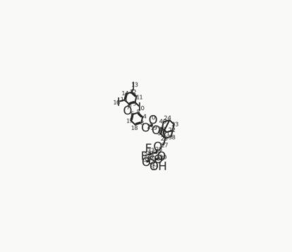 O=C(Oc1ccc(Oc2c(I)cc(I)cc2I)cc1)OC12CC3CC(CC(COC(=O)C(F)(F)S(=O)(=O)O)(C3)C1)C2